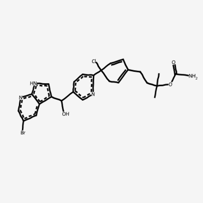 CC(C)(CCC1=CCC(Cl)(c2ccc(C(O)c3c[nH]c4ncc(Br)cc34)cn2)C=C1)OC(N)=O